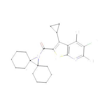 Cc1nc2sc(C(=O)N3C4(CCCCC4)C34CCCCC4)c(C3CC3)c2c(C)c1Cl